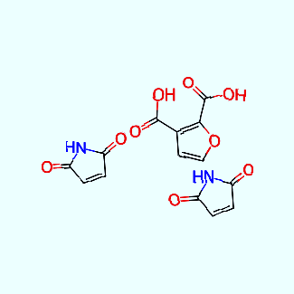 O=C(O)c1ccoc1C(=O)O.O=C1C=CC(=O)N1.O=C1C=CC(=O)N1